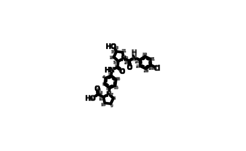 O=C(Nc1ccc(N2CCCC2C(=O)O)cc1)C1CC(O)CN1C(=O)Nc1ccc(Cl)cc1